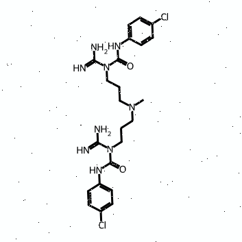 CN(CCCN(C(=N)N)C(=O)Nc1ccc(Cl)cc1)CCCN(C(=N)N)C(=O)Nc1ccc(Cl)cc1